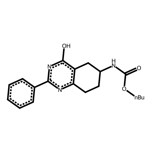 CCCCOC(=O)NC1CCc2nc(-c3ccccc3)nc(O)c2C1